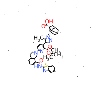 Cc1c(-c2ccc(N3CCc4cccc(C(=O)Nc5nc6ccccc6s5)c4C3)nc2C(=O)OC(C)(C)C)cnn1C[C@]12CC3CC(C1)C[C@](C(=O)O)(C3)C2